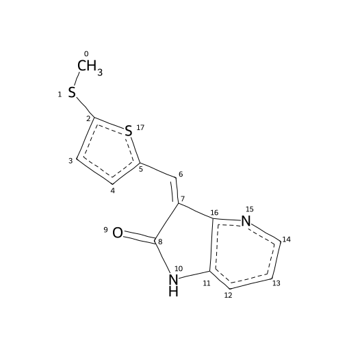 CSc1ccc(C=C2C(=O)Nc3cccnc32)s1